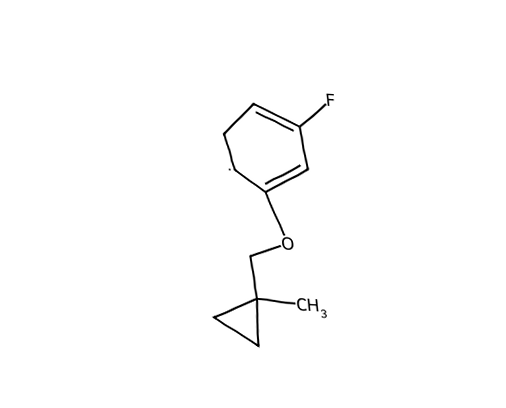 CC1(COC2=CC(F)=CC[CH]2)CC1